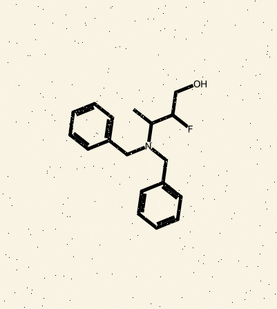 CC(C(F)CO)N(Cc1ccccc1)Cc1ccccc1